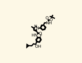 Cc1cc(C(=O)Nc2cc(C(O)CCC3CC3)ccc2F)n(-c2cccc(CNC(=O)OC(C)(C)C)c2)n1